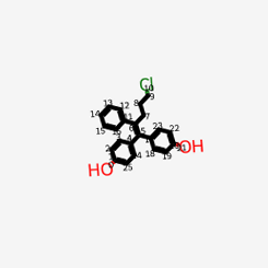 Oc1ccc(C(=C(CCCCl)c2ccccc2)c2ccc(O)cc2)cc1